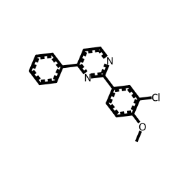 COc1ccc(-c2nccc(-c3ccccc3)n2)cc1Cl